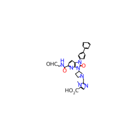 Cn1c(C(=O)O)cnc1CN1CCC(n2c(=O)n(-c3ccc(-c4ccccc4)cc3)c3ccc(C(=O)NCC=O)nc32)C1